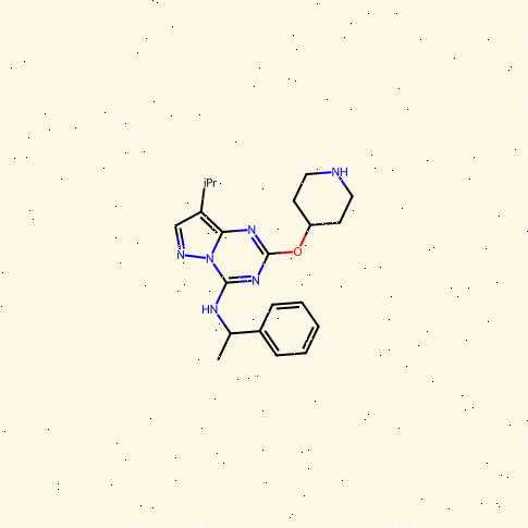 CC(C)c1cnn2c(NC(C)c3ccccc3)nc(OC3CCNCC3)nc12